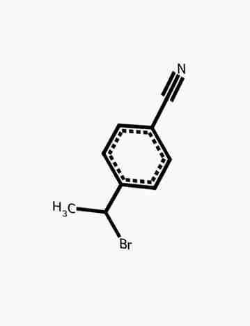 CC(Br)c1ccc(C#N)cc1